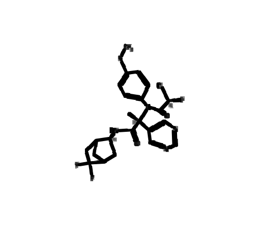 C[C@](C(=O)N[C@H]1CC2CC1CC2(F)F)(c1cncnc1)N(C(=O)[C@H](F)Cl)c1ccc(SC(F)(F)F)cc1